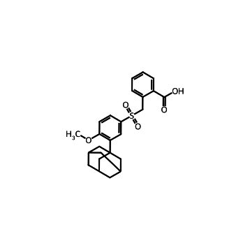 COc1ccc(S(=O)(=O)Cc2ccccc2C(=O)O)cc1C12CC3CC(CC(C3)C1)C2